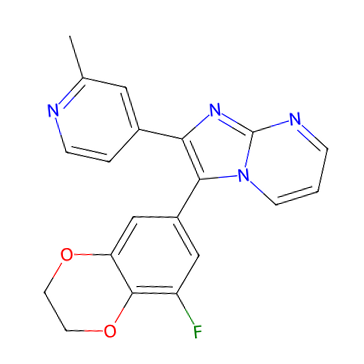 Cc1cc(-c2nc3ncccn3c2-c2cc(F)c3c(c2)OCCO3)ccn1